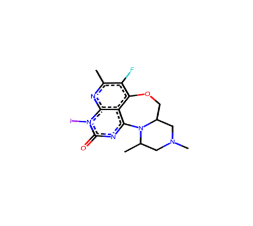 Cc1nc2c3c(nc(=O)n2I)N2C(C)CN(C)CC2COc3c1F